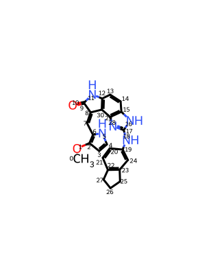 COc1cc[nH]c1/C=C1/C(=O)Nc2ccc3[nH]c(Nc4ccc5c(c4)CCC5)nc3c21